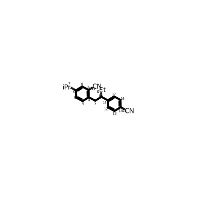 CCC(Cc1ccc(C(C)C)cc1C#N)c1ccc(C#N)cc1